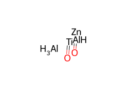 [AlH3].[O]=[AlH].[O]=[Ti].[Zn]